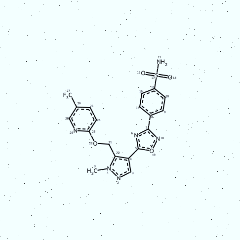 Cn1ncc(-c2nc(-c3ccc(S(N)(=O)=O)cc3)no2)c1COc1ccc(C(F)(F)F)cn1